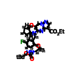 CCOC(=O)c1cnn2cc3c(nc12)N(Cc1cc(F)ccc1O[C@@H](C)CNC(=O)OC(C)(C)C)[C@@H]1CCC[C@@H]1O3